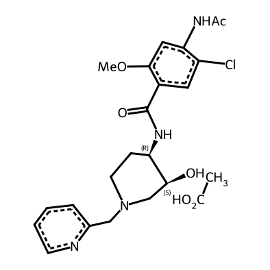 CC(=O)O.COc1cc(NC(C)=O)c(Cl)cc1C(=O)N[C@@H]1CCN(Cc2ccccn2)C[C@@H]1O